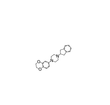 c1ccc2c(c1)CC(N1CCN(c3ccc4c(c3)OCCO4)CC1)C2